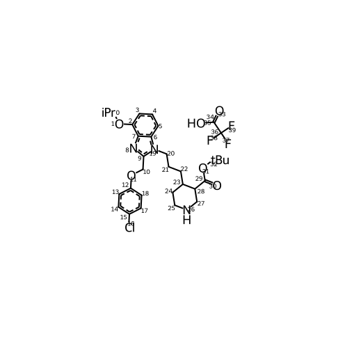 CC(C)Oc1cccc2c1nc(COc1ccc(Cl)cc1)n2CCCC1CCNCC1C(=O)OC(C)(C)C.O=C(O)C(F)(F)F